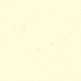 CCOC(=O)CC(c1ccc(OC)nc1)c1ncc(/C=C/CCc2ccc3cccnc3n2)n1C